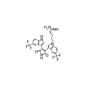 N=C(N)SCCCn1cc(C2=C(c3c[nH]c4ccc(C(F)(F)F)cc34)C(=O)NC2=O)c2cc(C(F)(F)F)ccc21